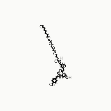 O=C(NCCOCCOCCOCCOCCCCCCCl)OCc1cc(CC(=O)N2C[C@H](O)C[C@H]2C(=O)NCc2ccc(Cl)cc2)on1